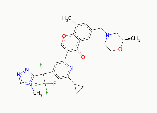 Cc1cc(CN2CCO[C@H](C)C2)cc2c(=O)c(-c3cc([C@](F)(c4nncn4C)C(F)(F)F)cc(C4CC4)n3)coc12